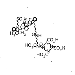 CC1(C)C(/C=C/C2=C(Cl)C(=C/C=C3/N(CCCCCC(=O)NCCCCC(NC(=O)CN4CCN(CC(=O)O)CCN(CC(=O)O)CCN(CC(=O)O)CC4)C(=O)O)c4ccccc4C3(C)C)/CCC2)=[N+](CCCCS(=O)(=O)O)c2ccccc21